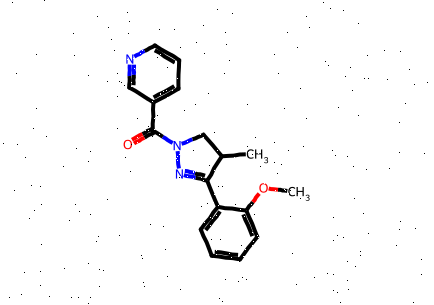 COc1ccccc1C1=NN(C(=O)c2cccnc2)CC1C